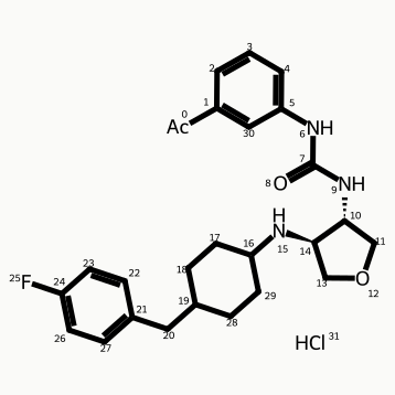 CC(=O)c1cccc(NC(=O)N[C@@H]2COC[C@H]2NC2CCC(Cc3ccc(F)cc3)CC2)c1.Cl